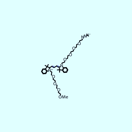 COCCOCCOCCOCC[N+]1=C(/C=C/C=C2/N(CCOCCOCCOCCOCCN=[N+]=[N-])c3ccccc3C2(C)C)C(C)(C)c2ccccc21